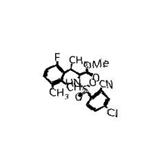 COC(=O)[C@@H](NS(=O)(=O)c1ccc(Cl)cc1C#N)[C@H](C)c1c(F)ccc(C)c1C